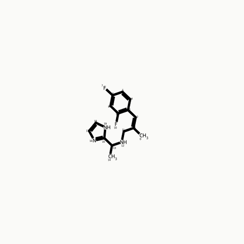 CC(=Cc1ccc(F)cc1F)CNC(C)c1ncc[nH]1